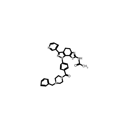 CC(=O)Nc1nc2c(s1)-c1c(c(-c3cccnc3)nn1-c1ccc(C(=O)N3CCN(Cc4ccccc4)CC3)cc1)CC2